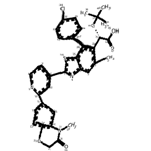 Cc1cc2nc(-c3ccnc(-c4ccc5c(c4)N(C)C(=O)CO5)c3)sc2c(-c2ccc(Cl)cc2)c1[C@H](OC(C)(C)C)C(=O)O